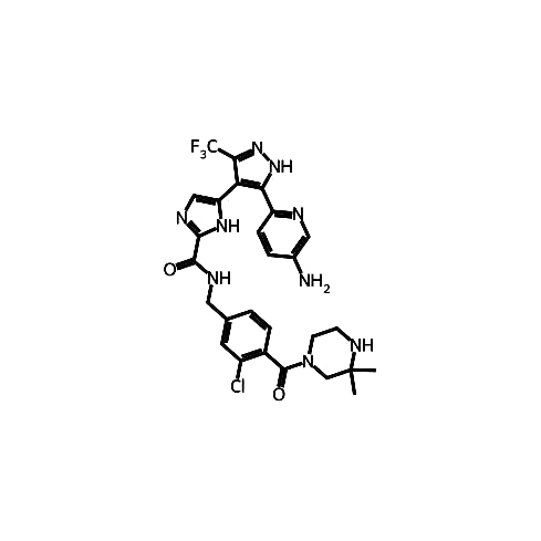 CC1(C)CN(C(=O)c2ccc(CNC(=O)c3ncc(-c4c(C(F)(F)F)n[nH]c4-c4ccc(N)cn4)[nH]3)cc2Cl)CCN1